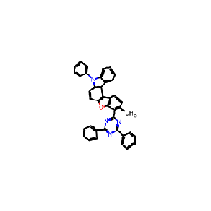 Cc1ccc2c3c(oc2c1-c1nc(-c2ccccc2)nc(-c2ccccc2)n1)C=CC1C3c2ccccc2N1c1ccccc1